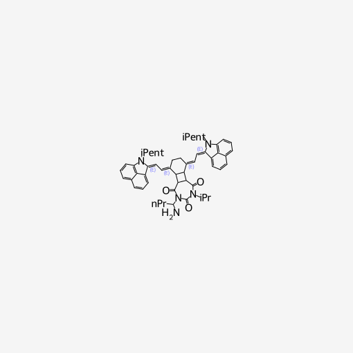 CCCC(N)N1C(=O)C2C(C(=O)N(C(C)C)C1=O)C1/C(=C/C=c3\c4cccc5cccc(c54)n3C(C)CCC)CC/C(=C\C=c3/c4cccc5cccc(c54)n3C(C)CCC)C21